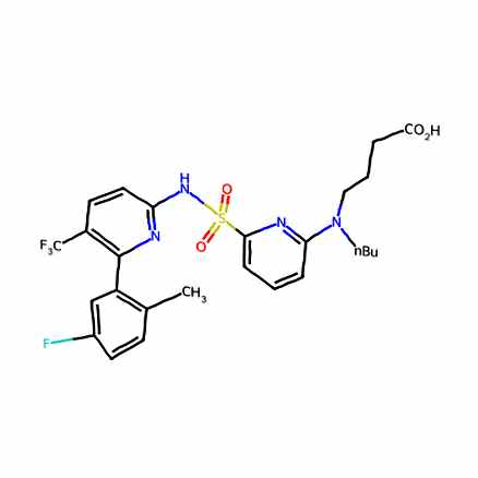 CCCCN(CCCC(=O)O)c1cccc(S(=O)(=O)Nc2ccc(C(F)(F)F)c(-c3cc(F)ccc3C)n2)n1